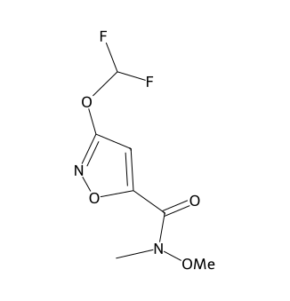 CON(C)C(=O)c1cc(OC(F)F)no1